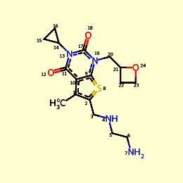 Cc1c(CNCCN)sc2c1c(=O)n(C1CC1)c(=O)n2CC1CCO1